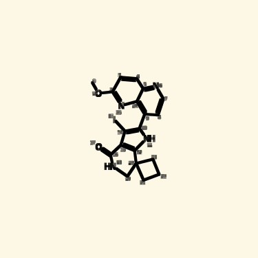 COc1ccc2nccc(-c3[nH]c4c(c3I)C(=O)NCC43CCC3)c2n1